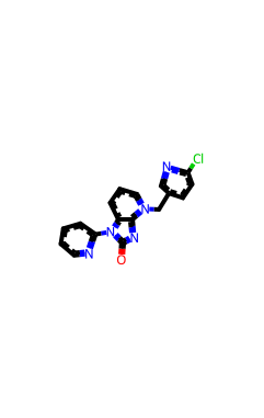 O=c1nc2n(Cc3ccc(Cl)nc3)cccc-2n1-c1ccccn1